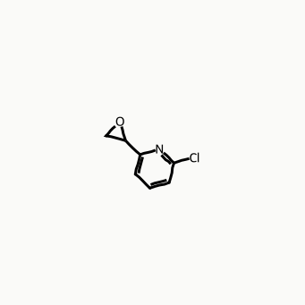 Clc1cccc(C2CO2)n1